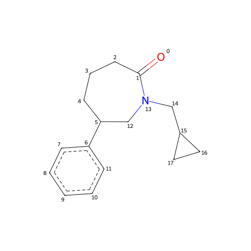 O=C1CCCC(c2ccccc2)CN1CC1CC1